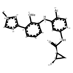 COc1c(Nc2cc(NC(=O)[C@H]3C[C@H]3F)ncc2C(C)=O)cccc1-c1ncn(C)n1